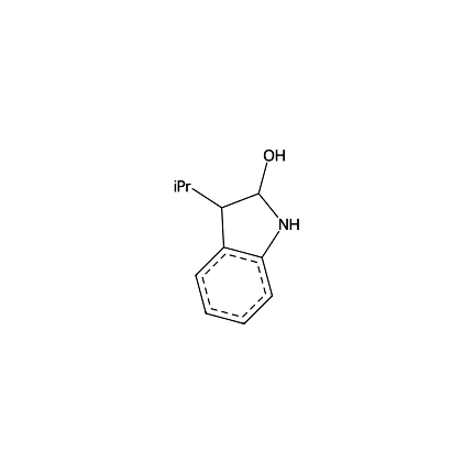 CC(C)C1c2ccccc2NC1O